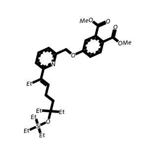 CCC(=CCCC(CC)(CC)O[Si](CC)(CC)CC)c1cccc(COc2ccc(C(=O)OC)c(C(=O)OC)c2)n1